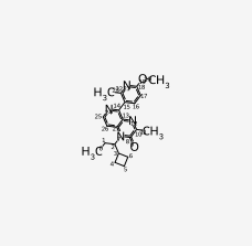 CCC(C1CCC1)n1c(=O)c(C)nc2c(-c3ccc(OC)nc3C)nccc21